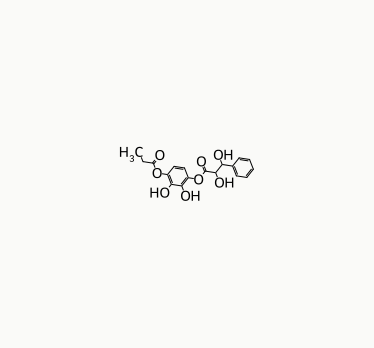 CCC(=O)Oc1ccc(OC(=O)C(O)C(O)c2ccccc2)c(O)c1O